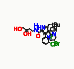 CC(C)(C)C[C@@H]1N[C@@H](C(=O)NCC[C@H](O)CO)[C@H](c2cccc(Cl)c2F)[C@]1(C#N)c1ncc(Br)cn1